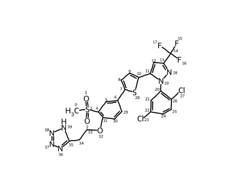 CS(=O)(=O)c1cc(-c2ccc(-c3cc(C(F)(F)F)nn3-c3cc(Cl)ccc3Cl)s2)ccc1OCCc1nnn[nH]1